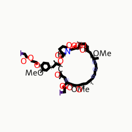 CO[C@H]1C[C@@H]2CC[C@@H](C)[C@@](O)(O2)C(=O)C(=O)N2CCCC[C@H]2C(=O)OC([C@H](C)C[C@@H]2CC[C@@H](OCCOC(=O)CI)[C@H](OC)C2)CC(=O)[C@H](C)/C=C(\C)[C@@H](OC(=O)CI)[C@@H](OC)C(=O)[C@H](C)C[C@@H](C)\C=C/C=C/C=C/1C